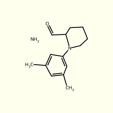 Cc1cc(C)cc(N2CCCCC2C=O)c1.N